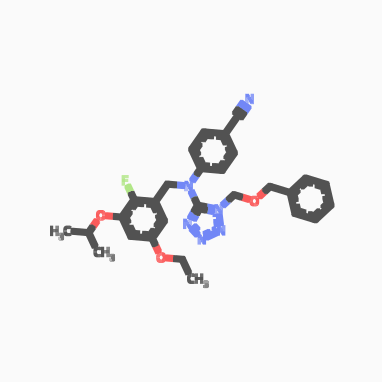 CCOc1cc(CN(c2ccc(C#N)cc2)c2nnnn2COCc2ccccc2)c(F)c(OC(C)C)c1